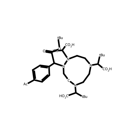 CC(=O)c1ccc(C(C(=O)OC(C)(C)C)N2CCN(C(C(=O)O)C(C)(C)C)CCN(C(C(=O)O)C(C)(C)C)CCN2C(C(=O)O)C(C)(C)C)cc1